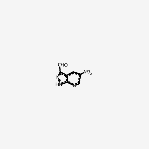 O=Cc1n[nH]c2ncc([N+](=O)[O-])cc12